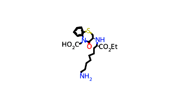 CCOC(=O)[C@H](CCCCCCCN)N[C@H]1CSc2ccccc2N(CC(=O)O)C1=O